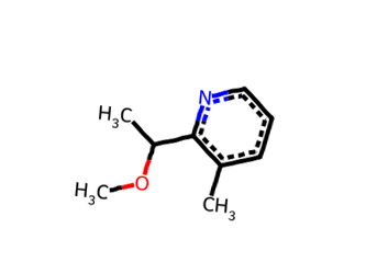 COC(C)c1ncccc1C